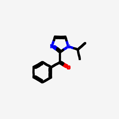 CC(C)n1ccnc1C(=O)c1ccccc1